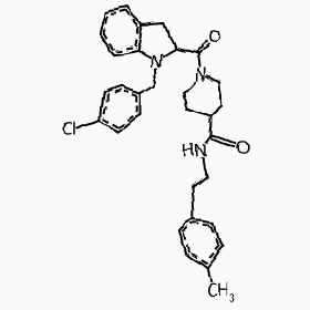 Cc1ccc(CCNC(=O)C2CCN(C(=O)C3Cc4ccccc4N3Cc3ccc(Cl)cc3)CC2)cc1